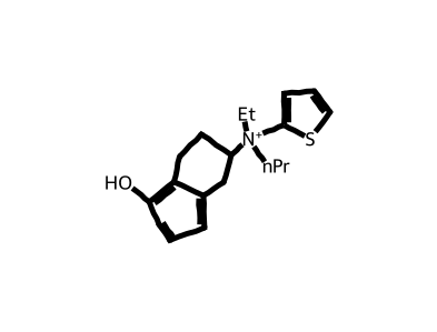 CCC[N+](CC)(c1cccs1)C1CCc2c(O)cccc2C1